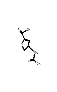 O=C(O)NC1C=C(C(=O)O)OC1